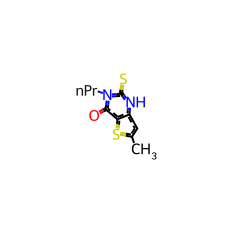 CCCn1c(=S)[nH]c2cc(C)sc2c1=O